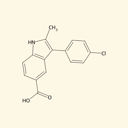 Cc1[nH]c2ccc(C(=O)O)cc2c1-c1ccc(Cl)cc1